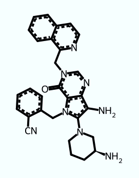 N#Cc1ccccc1Cn1c(N2CCC[C@H](N)C2)c(N)c2ncn(Cc3nccc4ccccc34)c(=O)c21